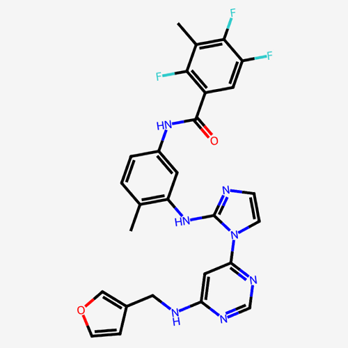 Cc1ccc(NC(=O)c2cc(F)c(F)c(C)c2F)cc1Nc1nccn1-c1cc(NCc2ccoc2)ncn1